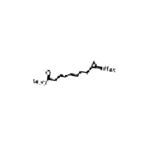 CCCCCCC1CC1CCCCCCCC(=O)OC